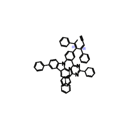 C#C/C=C(\C(=C(/C)c1ccccc1)c1ccc(-n2c3ccc(-c4ccccc4)cc3c3cc(-c4ccccc4)ccc32)c(-c2nc(-c3ccccc3)nc(C3C=CC=CC3)n2)c1)c1ccccc1